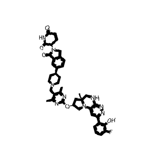 Cc1nc(O[C@H]2CN3c4cc(-c5cccc(F)c5O)nnc4NC[C@@]3(C)C2)nc(C)c1CN1CCC(c2ccc3c(c2)C(=O)N([C@H]2CCC(=O)NC2=O)C3)CC1